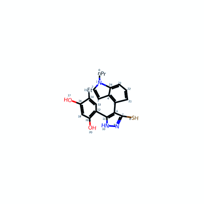 CCCn1ccc2c(-c3c(S)n[nH]c3-c3cc(CC)c(O)cc3O)cccc21